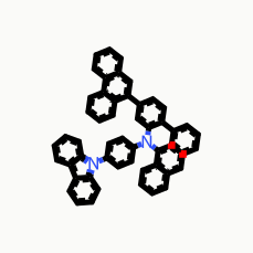 c1ccc(-c2ccc(-c3cc4ccccc4c4ccccc34)cc2N(c2ccc(-n3c4ccccc4c4ccccc43)cc2)c2cccc3ccccc23)cc1